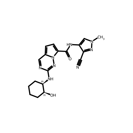 Cn1cc(NC(=O)c2ccc3cnc(N[C@@H]4CCCC[C@@H]4O)nn23)c(C#N)n1